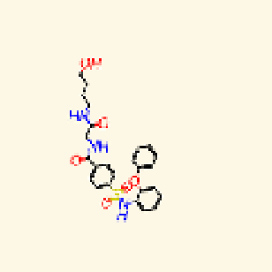 O=C(CNC(=O)c1ccc(S(=O)(=O)Nc2ccccc2Oc2ccccc2)cc1)NCCCCO